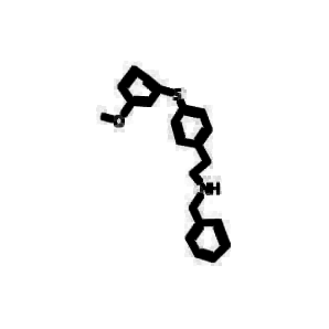 COc1cccc(Sc2ccc(CCNCc3ccccc3)cc2)c1